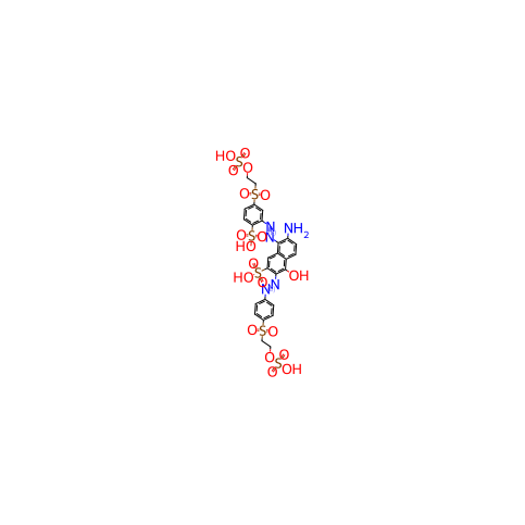 Nc1ccc2c(O)c(/N=N/c3ccc(S(=O)(=O)CCOS(=O)(=O)O)cc3)c(S(=O)(=O)O)cc2c1/N=N/c1cc(S(=O)(=O)CCOS(=O)(=O)O)ccc1S(=O)(=O)O